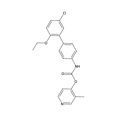 CCOc1ccc(Cl)cc1-c1ccc(NC(=O)Oc2ccncc2C)cc1